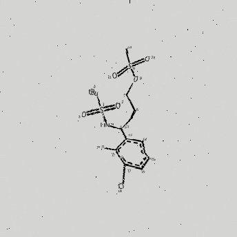 CC(C)(C)S(=O)(=O)N[C@@H](CCOS(C)(=O)=O)c1cccc(Cl)c1F